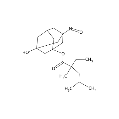 CCC(C)(CC(C)C)C(=O)OC12CC3CC(O)(CC(N=O)(C3)C1)C2